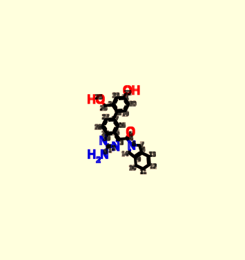 Nc1nc(C(=O)N2CC3=C(CCC=C3)C2)c2cc(-c3ccc(O)cc3CO)ccc2n1